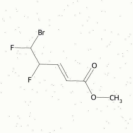 COC(=O)/C=C/C(F)C(F)Br